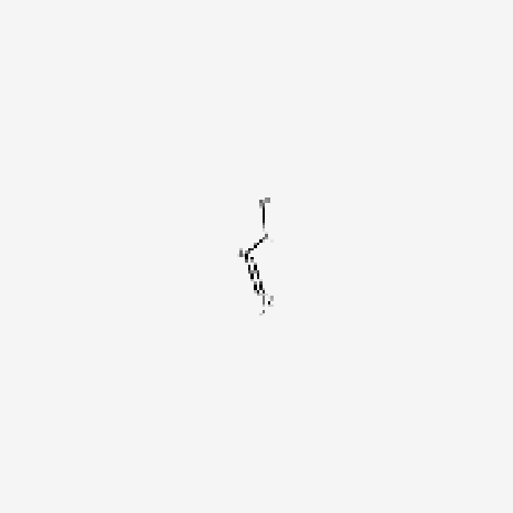 CC[CH]=[Ta]